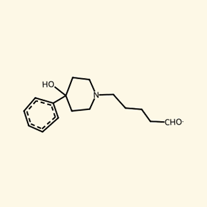 O=[C]CCCCN1CCC(O)(c2ccccc2)CC1